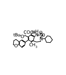 Cc1c2c(c(C)c([C@H](OC(C)(C)C)C(=O)O)c1-c1ccc3c(c1)CCCO3)NS(=O)(=O)N(C1CCCCC1)CC2